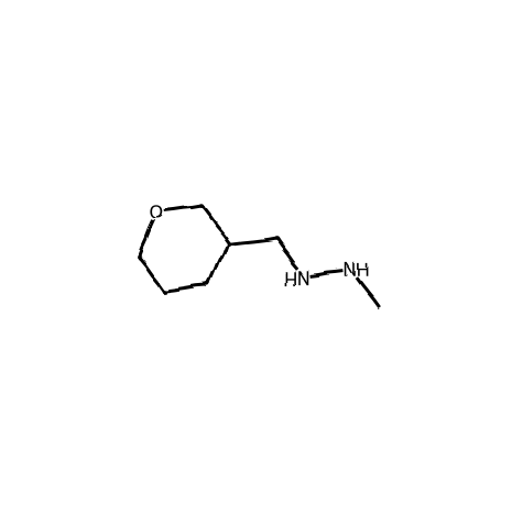 CNNCC1CCCOC1